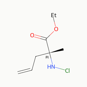 C=CC[C@@](C)(NCl)C(=O)OCC